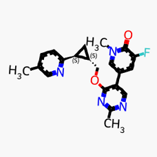 Cc1ccc([C@H]2C[C@@H]2COc2nc(C)ncc2-c2cc(F)c(=O)n(C)c2)nc1